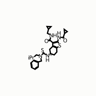 CC(C)CN(Cc1ccccc1)C(=S)N[C@H]1CCc2sc(NC(=O)C3CC3)c(C(=O)NCC3CC3)c2C1